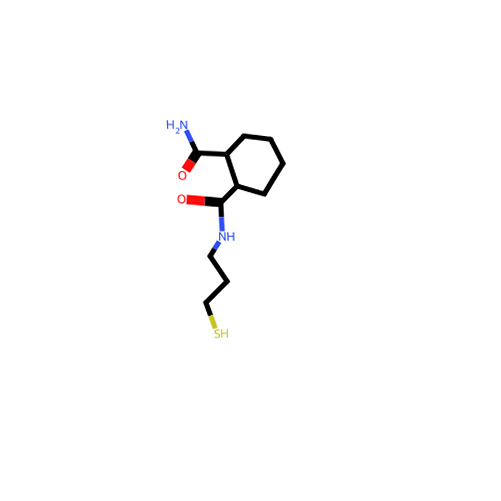 NC(=O)C1CCCCC1C(=O)NCCCS